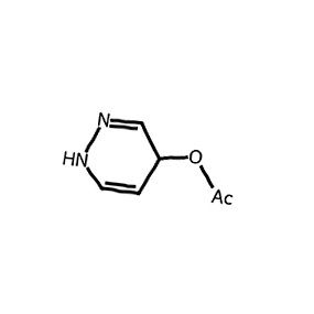 CC(=O)OC1C=CNN=C1